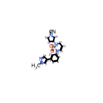 Cn1cc(-c2cccc(N3C=CCN([C@@H]4CCN(C#N)C4)S3(=O)=O)c2)cn1